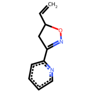 C=CC1CC(c2ccccn2)=NO1